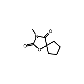 CN1C(=O)OC2(CCCC2)C1=O